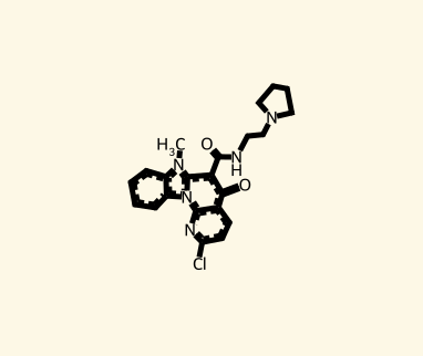 Cn1c2ccccc2n2c3nc(Cl)ccc3c(=O)c(C(=O)NCCN3CCCC3)c12